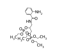 CCOP(=O)(OCC)OCC(CNC(=O)c1ccccc1N)OP(=O)(OCC)OCC